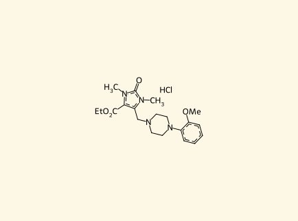 CCOC(=O)c1c(CN2CCN(c3ccccc3OC)CC2)n(C)c(=O)n1C.Cl